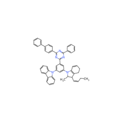 CC/C=C\C1C2=C(C=CCC2)N(c2cc(-c3nc(-c4ccccc4)nc(-c4ccc(-c5ccccc5)cc4)n3)cc(-n3c4ccccc4c4ccccc43)c2)C1C